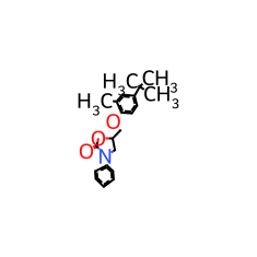 Cc1cc(C(C)(C)C)ccc1OCC1CN(c2ccccc2)C(=O)O1